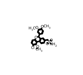 COc1ccc(C2Oc3ccc(Cl)c(OC)c3-c3ccc(CS(N)(=O)=O)cc32)cc1OC